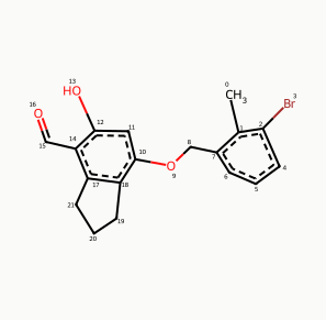 Cc1c(Br)cccc1COc1cc(O)c(C=O)c2c1CCC2